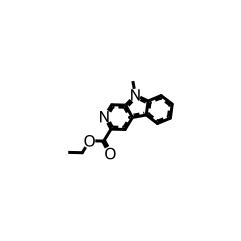 CCOC(=O)c1cc2c3ccccc3n(C)c2cn1